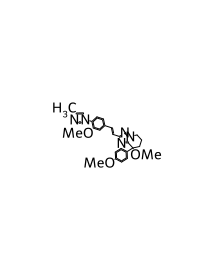 COc1ccc(C2(OC)CCCn3nc(C=Cc4ccc(-n5cnc(C)c5)c(OC)c4)nc32)cc1